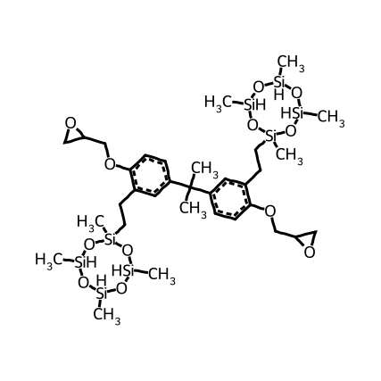 C[SiH]1O[SiH](C)O[Si](C)(CCc2cc(C(C)(C)c3ccc(OCC4CO4)c(CC[Si]4(C)O[SiH](C)O[SiH](C)O[SiH](C)O4)c3)ccc2OCC2CO2)O[SiH](C)O1